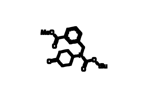 COC(=O)c1cccc(CN(C(=O)OC(C)(C)C)C2CCC(=O)CC2)c1